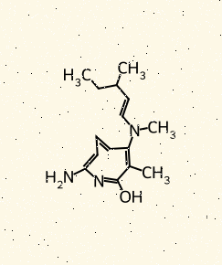 CCC(C)/C=C/N(C)C1=C(C)/C(O)=N\C(N)=C\C=C\1